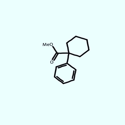 COC(=O)C1(c2ccccc2)CCCCC1